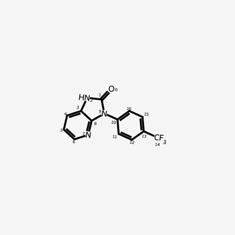 O=c1[nH]c2cccnc2n1-c1ccc(C(F)(F)F)cc1